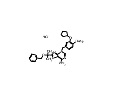 COc1ccc(Cn2cnc(N)c3nc(C(C)(C)OCc4ccccc4)nc2-3)cc1OC1CCCC1.Cl